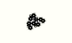 c1ccc2cc(-c3nc(-c4cccc5oc6ccccc6c45)nc(-c4cc(-c5cccc6sc7ccccc7c56)cc5oc6ccccc6c45)n3)ccc2c1